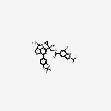 C[C@@]1(C(N)=O)COc2c(-c3ccc4c(c3)OC(F)(F)O4)nc(C(O)(CNC(=O)c3cc(Cl)c4nn(C(F)F)cc4c3)C3CC3)c(F)c21